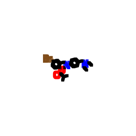 CCN(CC)Cc1ccc(N=Cc2cc(Br)ccc2OC(=O)C(C)C)cc1